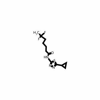 CC(F)(F)CCCCC(=O)Nc1nnc(C2CC2)s1